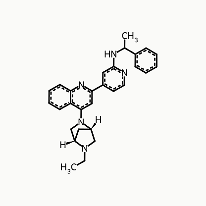 CCN1C[C@@H]2C[C@H]1CN2c1cc(-c2ccnc(NC(C)c3ccccc3)c2)nc2ccccc12